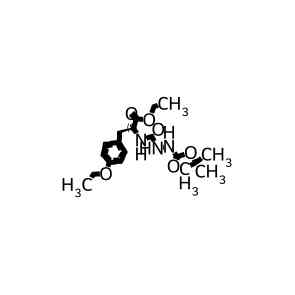 CCOC(=O)[C@H](Cc1ccc(OCC)cc1)NC(=O)NNC(=O)OC(C)(C)C